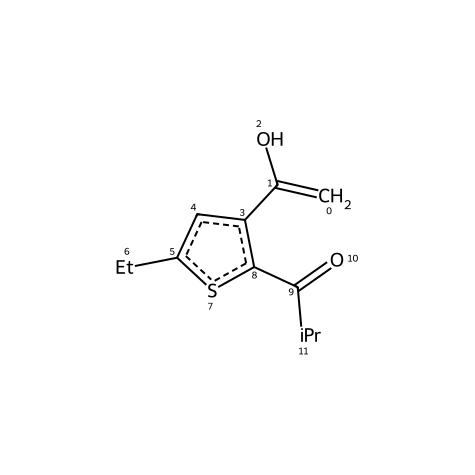 C=C(O)c1cc(CC)sc1C(=O)C(C)C